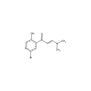 CN(C)/C=C/C(=O)c1cc(Br)ncc1O